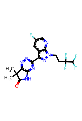 CC1(C)C(=O)Nc2nc(-c3nn(CCC(F)(F)C(F)F)c4ncc(F)cc34)nnc21